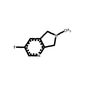 CN1Cc2cc(F)cnc2C1